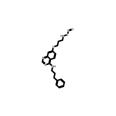 O=NSNCCCOc1ccc2c(NCCCc3ccccc3)ncnc2c1